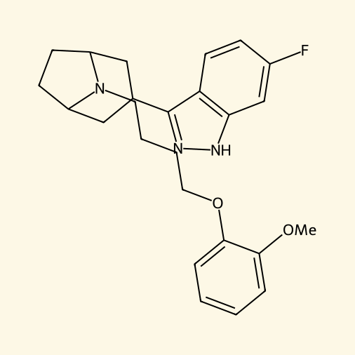 COc1ccccc1OCCCCN1C2CCC1CC(c1n[nH]c3cc(F)ccc13)C2